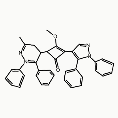 COC1=C(c2cnn(-c3ccccc3)c2-c2ccccc2)C(=O)C1C1CC(C)=N[N+](c2ccccc2)=C1c1ccccc1